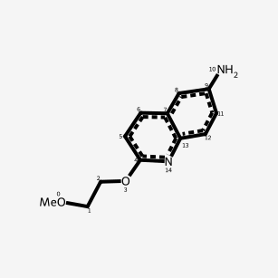 COCCOc1ccc2cc(N)ccc2n1